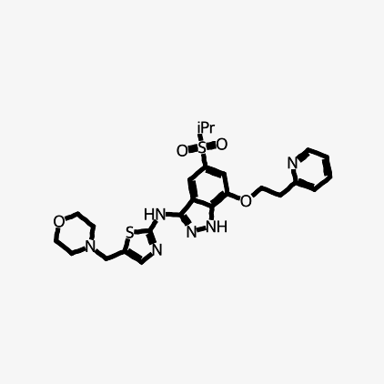 CC(C)S(=O)(=O)c1cc(OCCc2ccccn2)c2[nH]nc(Nc3ncc(CN4CCOCC4)s3)c2c1